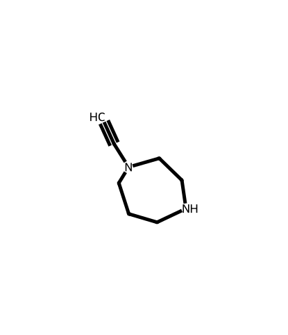 C#CN1CCCNCC1